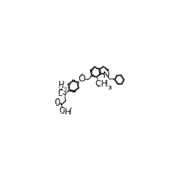 Cc1c(COc2ccc(C(C)CC(=O)O)cc2)ccc2ccn(Cc3ccccc3)c12